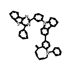 C=C1/C=C\C=C/CN(c2ccccc2)c2ccc(-c3ccc4c(c3)c3ccccc3n4-c3cccc(-c4nc(-c5ccccc5)c5sc6ccccc6c5n4)c3)cc21